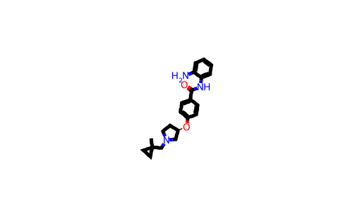 CC1(CN2CC[C@H](Oc3ccc(C(=O)Nc4ccccc4N)cc3)C2)CC1